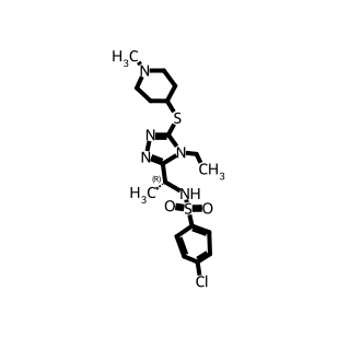 CCn1c(SC2CCN(C)CC2)nnc1[C@@H](C)NS(=O)(=O)c1ccc(Cl)cc1